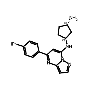 CC(C)c1ccc(-c2cc(N[C@H]3CC[C@H](N)C3)n3nccc3n2)cc1